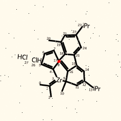 C[C](C)=[Zr]([C]1=CC=CC1)[C]1(C)C=C(C(C)C)C=C2C1=Cc1c(C)cc(C(C)C)cc12.Cl.Cl